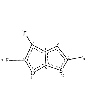 Cc1cc2c(F)c(F)oc2s1